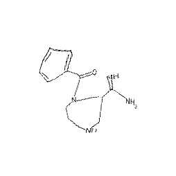 N=C(N)C1CNCCN1C(=O)c1ccccc1